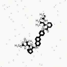 COC(=O)N[C@H](C(=O)N1CCCCC1C(=O)Nc1ccc(-c2ccc3cc(NC(=O)C45CCC(CN4C(=O)[C@@H](NC(=O)OC)C(C)C)C5)ccc3c2)cc1)C(C)C